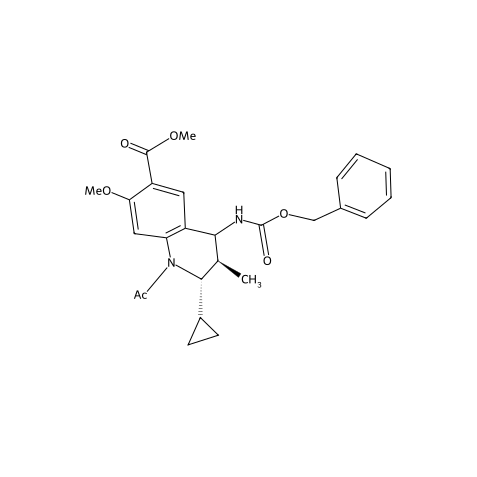 COC(=O)c1cc2c(cc1OC)N(C(C)=O)[C@@H](C1CC1)[C@H](C)C2NC(=O)OCc1ccccc1